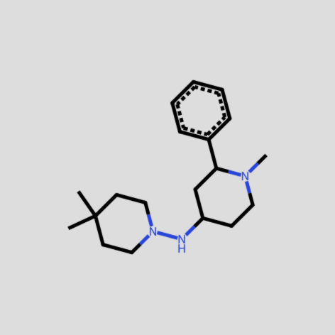 CN1CCC(NN2CCC(C)(C)CC2)CC1c1ccccc1